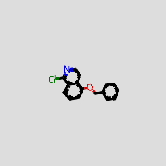 Clc1nccc2c(OCc3ccccc3)cccc12